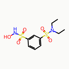 CCN(CC)S(=O)(=O)c1cccc(S(=O)(=O)NO)c1